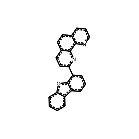 c1cnc2c(c1)ccc1ccc(-c3cccc4c3oc3ccccc34)nc12